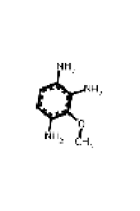 COc1c(N)ccc(N)c1N